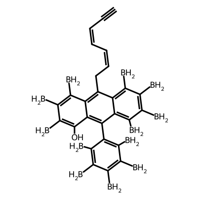 Bc1c(B)c(B)c(-c2c3c(B)c(B)c(B)c(B)c3c(C/C=C\C=C/C#C)c3c(B)c(B)c(B)c(O)c23)c(B)c1B